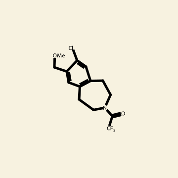 COCc1cc2c(cc1Cl)CCN(C(=O)C(F)(F)F)CC2